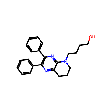 OCCCCN1CCCc2nc(-c3ccccc3)c(-c3ccccc3)nc21